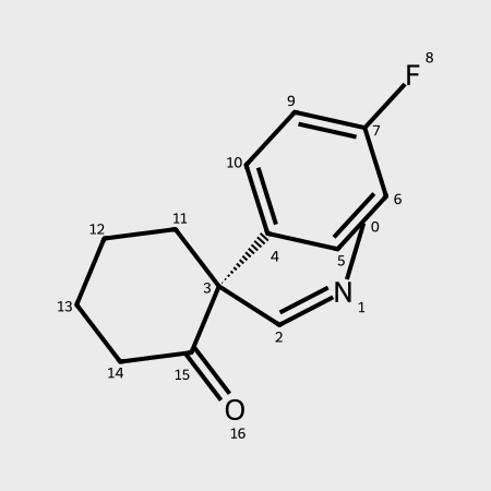 C/N=C\[C@]1(c2ccc(F)cc2)CCCCC1=O